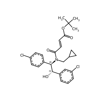 CC(C)(C)OC(=O)C=CC(=O)N(CC1CC1)[C@H](c1ccc(Cl)cc1)[C@@H](O)c1cccc(Cl)c1